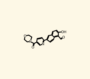 O=Cc1c(O)ccc2cc(-c3ccc(C(=O)N4CCOCC4)cn3)ccc12